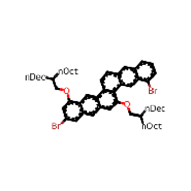 CCCCCCCCCCC(CCCCCCCC)COc1cc(Br)cc2cc3cc(OCC(CCCCCCCC)CCCCCCCCCC)c4c5cc6c(Br)cccc6cc5ccc4c3cc12